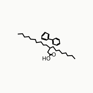 CCCCCCCCCCC(CCCCCCCC)CC(=O)O.c1ccc(-c2ccccc2)cc1